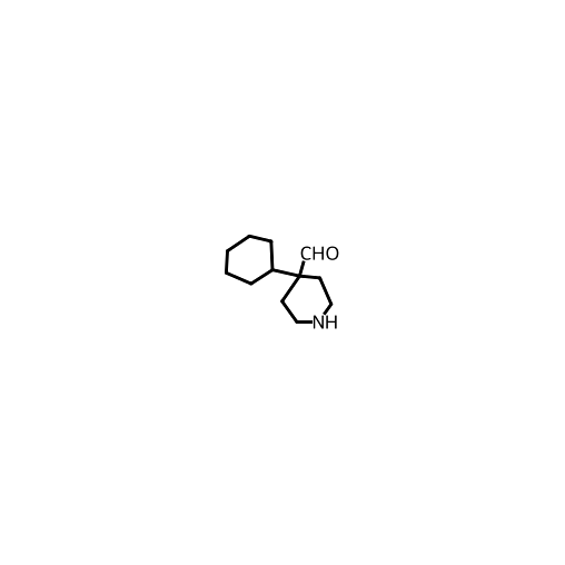 O=CC1(C2CCCCC2)CCNCC1